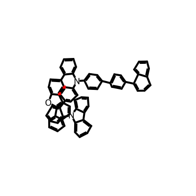 c1ccc(N(c2ccc(-c3ccc(-c4cccc5ccccc45)cc3)cc2)c2ccc(-c3ccccc3-n3c4ccccc4c4ccccc43)cc2)c(-c2ccc3oc4c5ccccc5ccc4c3c2)c1